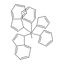 [CH3][Zr]([C]1=CC=CC1)([c]1ccccc1)([c]1ccccc1)([CH]1C=Cc2ccccc21)[CH]1C=Cc2ccccc21